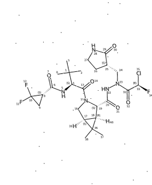 CC(C)(C)[C@H](NC(=O)[C@@H]1CC1(F)F)C(=O)N1C[C@H]2[C@@H]([C@H]1C(=O)NN(C[C@@H]1CCNC1=O)C(=O)[C@H](F)Cl)C2(C)C